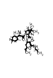 C=CCCC(NC(=O)[C@@H]1[C@@H]2[C@H](CN1C(=O)[C@@H](N)C1CCC(F)(F)CC1)C2(C)C)C(=O)C(=O)NCC=C